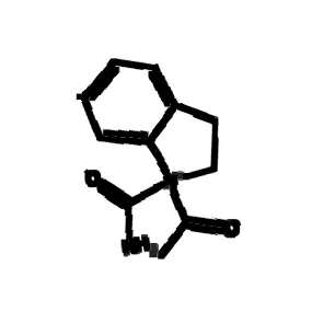 CC(=O)[N+]1(C(N)=O)CCc2cc[c]cc21